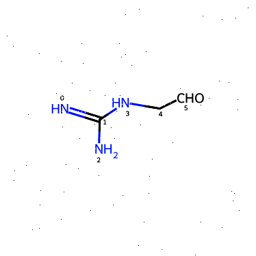 N=C(N)NCC=O